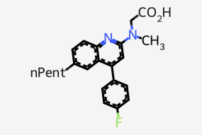 CCCCCc1ccc2nc(N(C)CC(=O)O)cc(-c3ccc(F)cc3)c2c1